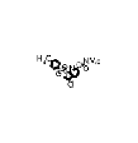 CNC(=O)Oc1ccc2c(Cl)cn(S(=O)(=O)c3ccc(C)cc3)c2n1